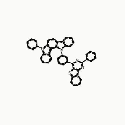 c1ccc(-c2nc(-c3cccc(-n4c5ccccc5c5ccc6c(c7ccccc7n6-c6ccccc6)c54)c3)c3sc4ccccc4c3n2)cc1